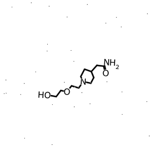 NC(=O)CC1CCN(CCOCCO)CC1